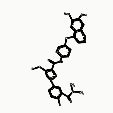 CCOc1cn(-c2ccc(Cl)c(C(=O)N(C)C)c2)nc1C(=O)Nc1ccc(Oc2ccnc3cc(OC)c(OC)cc23)cn1